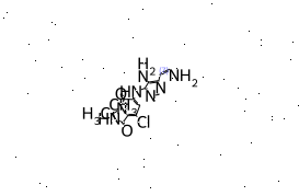 CC1(C)NC(=O)c2c(Cl)cc(Nc3ncnc(/C=C\N)c3N)c(=O)n21